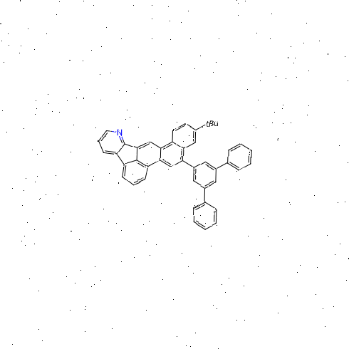 CC(C)(C)c1ccc2c(c1)c(-c1cc(-c3ccccc3)cc(-c3ccccc3)c1)cc1c3cccc4c3c(cc21)-c1ncccc1-4